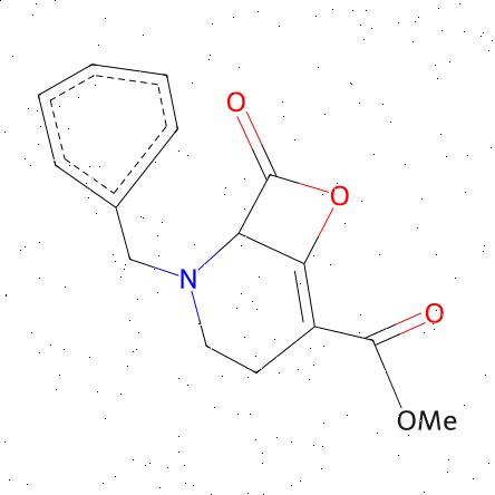 COC(=O)C1=C2OC(=O)C2N(Cc2ccccc2)CC1